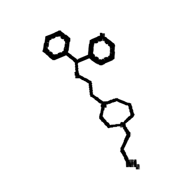 NCCN1CCCN(CCSC(c2ccccc2)c2cccnc2)CC1